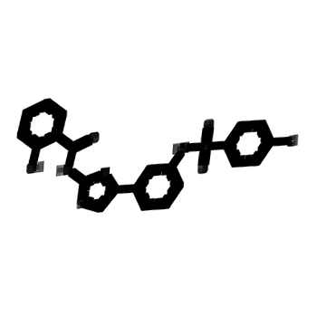 O=C(Nc1nc(-c2cccc(NS(=O)(=O)c3ccc(Cl)cc3)c2)cs1)c1ccccc1O